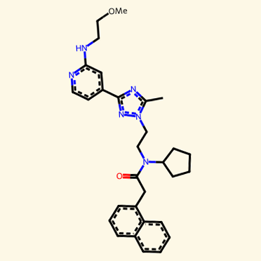 COCCNc1cc(-c2nc(C)n(CCN(C(=O)Cc3cccc4ccccc34)C3CCCC3)n2)ccn1